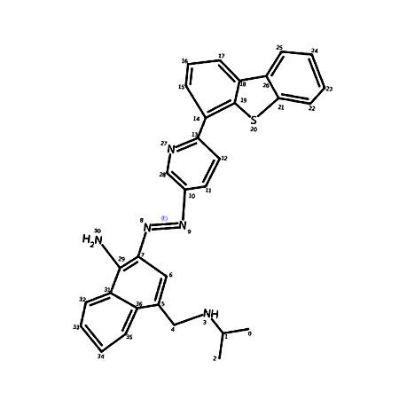 CC(C)NCc1cc(/N=N/c2ccc(-c3cccc4c3sc3ccccc34)nc2)c(N)c2ccccc12